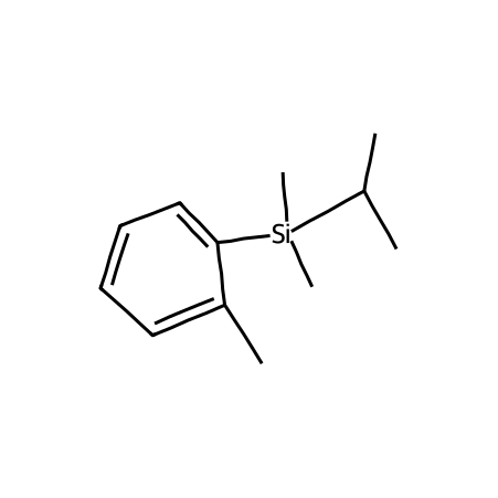 Cc1ccccc1[Si](C)(C)C(C)C